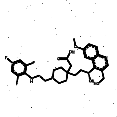 COc1ccc2ncc(CO)c([C@@H](O)CCC3(CC(=O)O)CCN(CCNc4c(F)cc(F)cc4F)CC3)c2c1